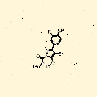 CCOc1c(Br)c(-c2ccc(C#N)c(F)c2)nn1C(=O)OC(C)(C)C